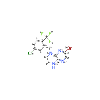 FC(F)(F)c1ccc(Cl)cc1CN1CCNc2ncc(Br)nc21